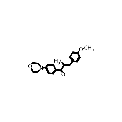 COc1ccc(/C=C(\C)C(=O)c2ccc(N3CCOCC3)cc2)cc1